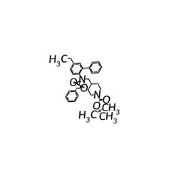 CCc1ccc(N(CC2CCN(C(=O)OC(C)(C)C)CC2)S(=O)(=O)c2ccccc2)c(-c2ccccc2)c1